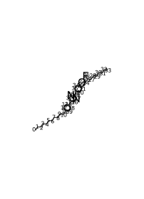 CCCCCCCCCCCc1ccc(-c2cnc(-c3ccc(OCC(F)CCCCCCC)cc3)nc2)cc1